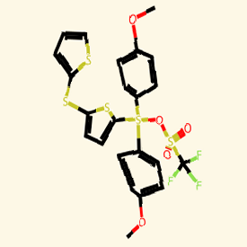 COc1ccc(S(OS(=O)(=O)C(F)(F)F)(c2ccc(OC)cc2)c2ccc(Sc3cccs3)s2)cc1